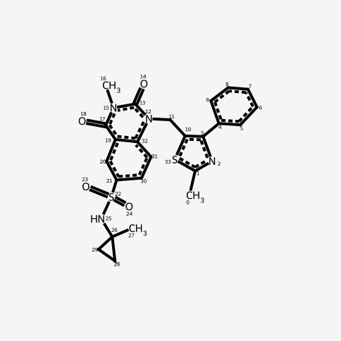 Cc1nc(-c2ccccc2)c(Cn2c(=O)n(C)c(=O)c3cc(S(=O)(=O)NC4(C)CC4)ccc32)s1